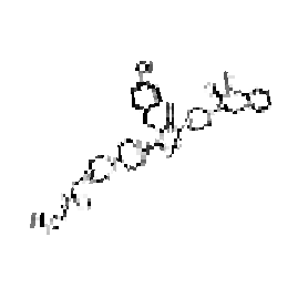 CCOC(=O)CN1CCN(C2CCN(C(=O)[C@@H](Cc3ccc(O)cc3)NC(=O)N3CCC(N4Cc5ccccc5NC4=O)CC3)CC2)CC1